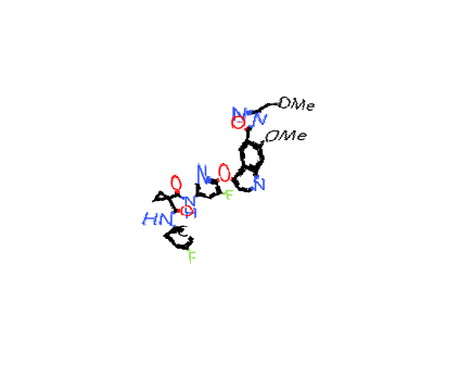 COCc1noc(-c2cc3c(Oc4ncc(NC(=O)C5(C(=O)Nc6ccc(F)cc6)CC5)cc4F)ccnc3cc2OC)n1